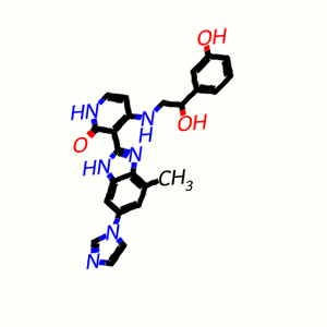 Cc1cc(-n2ccnc2)cc2[nH]c(-c3c(NCC(O)c4cccc(O)c4)cc[nH]c3=O)nc12